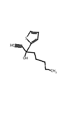 C#CC(O)(CCCCC)c1cccs1